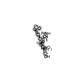 C#Cc1nc2[nH]cc(F)c2cc1Oc1cc(N2CCC3(CC2)CN([C@H]2CCC[C@H]2c2ccccc2C(C)C)C3)ccc1C(=O)NS(=O)(=O)c1cnc(NC[C@H]2CC[C@](C)(O)CC2)c([N+](=O)[O-])c1